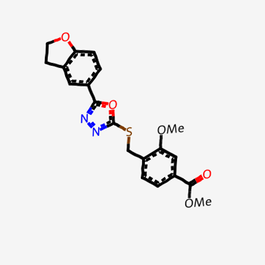 COC(=O)c1ccc(CSc2nnc(-c3ccc4c(c3)CCO4)o2)c(OC)c1